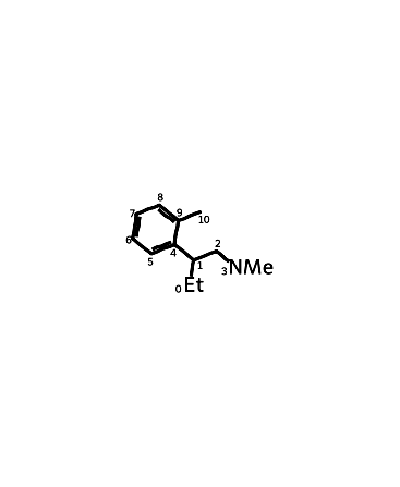 CCC(CNC)c1ccccc1C